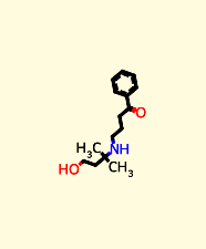 CC(C)(CCO)NCCCC(=O)c1ccccc1